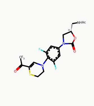 CC(=O)NC[C@H]1CN(c2cc(F)c(N3C=C(C(=O)C(F)(F)F)SCC3)c(F)c2)C(=O)O1